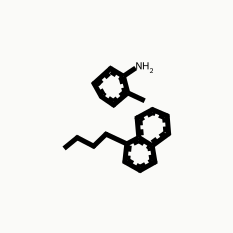 CCCCc1cccc2ccccc12.Cc1ccccc1N